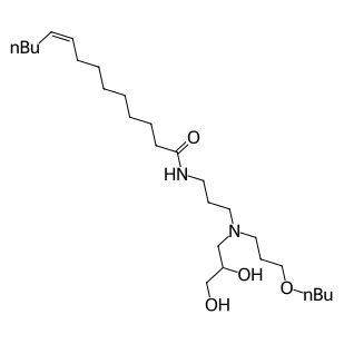 CCCC/C=C\CCCCCCCC(=O)NCCCN(CCCOCCCC)CC(O)CO